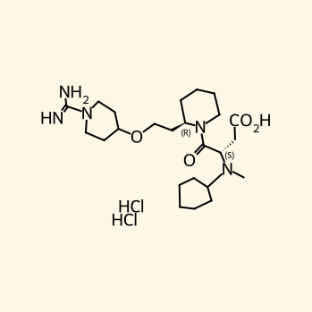 CN(C1CCCCC1)[C@@H](CC(=O)O)C(=O)N1CCCC[C@@H]1CCOC1CCN(C(=N)N)CC1.Cl.Cl